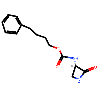 O=C(N[C@H]1CNC1=O)OCCCCc1ccccc1